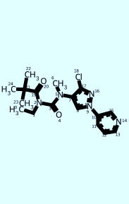 CCN(C(=O)N(C)c1cn(-c2cccnc2)nc1Cl)C(=O)C(C)(C)C